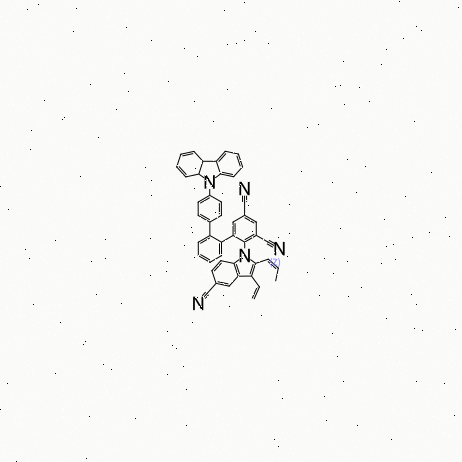 C=Cc1c(/C=C\C)n(-c2c(C#N)cc(C#N)cc2-c2ccccc2-c2ccc(N3c4ccccc4C4C=CC=CC43)cc2)c2ccc(C#N)cc12